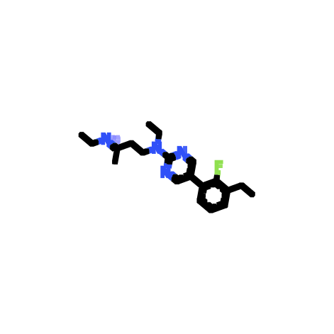 CC/N=C(\C)CCN(CC)c1ncc(-c2cccc(CC)c2F)cn1